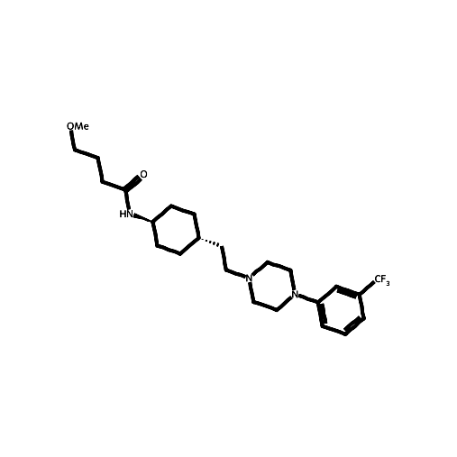 COCCCC(=O)N[C@H]1CC[C@H](CCN2CCN(c3cccc(C(F)(F)F)c3)CC2)CC1